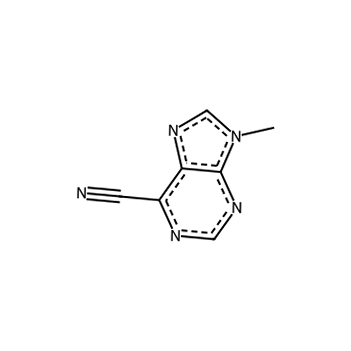 Cn1cnc2c(C#N)ncnc21